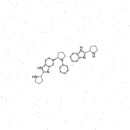 c1ccc(N2[C@@H](c3ccc4[nH]c(C5CCCN5)nc4c3)CC[C@@H]2c2ccc3nc(C4CCCN4)[nH]c3c2)cc1